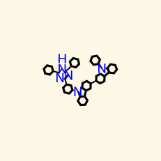 c1ccc(C2=NC(c3cccc(-n4c5ccccc5c5cc(-c6ccc7c8ccccc8n(-c8ccccc8)c7c6)ccc54)c3)=NC(c3ccccc3)N2)cc1